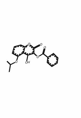 CC(C)Oc1cccc2oc(=O)c(OC(=O)c3ccccc3)c(O)c12